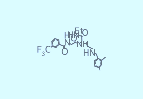 CCNC(=O)[C@H](CCCNCc1ccc(C)cc1C)NC(=O)CNC(=O)c1cccc(C(F)(F)F)c1